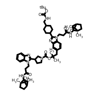 CC(C)(C)OC(=O)NCC1CCC(c2nc3cc(CC(C)(C)OC(=O)N4CCC(c5nc6ccccc6n5CCC(=O)NC5CC6CC[C@]5(C)C6(C)C)C4)ccc3n2CCC(=O)NC2CC3CC[C@]2(C)C3(C)C)CC1